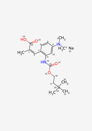 CC(=Cc1ccc(N(C)C)cc1NC(=O)OCC[Si](C)(C)C)C(=O)O.[Na]